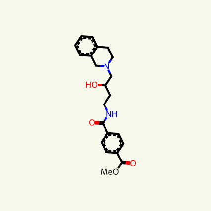 COC(=O)c1ccc(C(=O)NCCC(O)CN2CCc3ccccc3C2)cc1